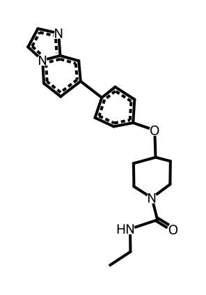 CCNC(=O)N1CCC(Oc2ccc(-c3ccn4ccnc4c3)cc2)CC1